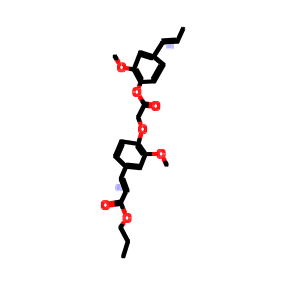 C/C=C/c1ccc(OC(=O)COc2ccc(/C=C/C(=O)OCCC)cc2OC)c(OC)c1